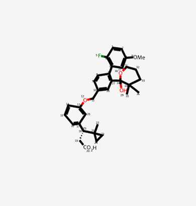 COc1ccc(F)c(-c2ccc(COc3cccc([C@@H](CC(=O)O)C4(C)CC4)c3)cc2C2(O)OCCCC2(C)C)c1